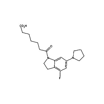 O=C(O)CCCCCC(=O)N1CCc2c(F)cc(N3CCCC3)cc21